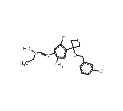 CCN(C)C=Nc1cc(F)c(C2(OCc3cccc(Cl)c3)COC2)cc1C